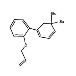 C=CCOc1ccccc1C1=CC=CC(C(C)(C)C)(C(C)(C)C)C1